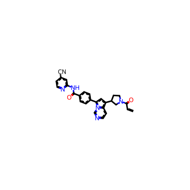 C=CC(=O)N1CCC(c2cc(-c3ccc(C(=O)Nc4cc(C#N)ccn4)cc3)n3cnccc23)C1